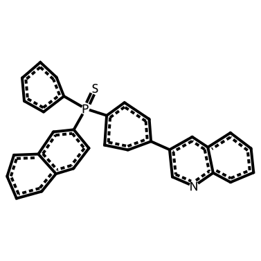 S=P(c1ccccc1)(c1ccc(-c2cnc3ccccc3c2)cc1)c1ccc2ccccc2c1